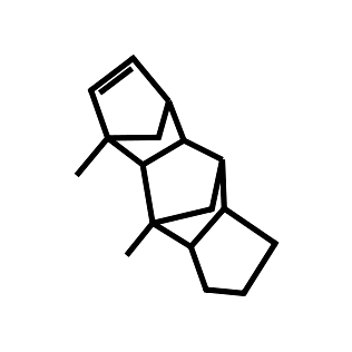 CC12C=CC(C1)C1C3CC(C)(C4CCCC34)C12